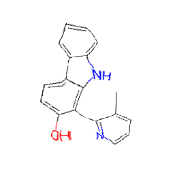 Cc1cccnc1-c1c(O)ccc2c1[nH]c1ccccc12